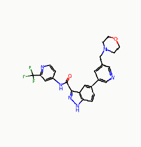 O=C(Nc1ccnc(C(F)(F)F)c1)c1n[nH]c2ccc(-c3cncc(CN4CCOCC4)c3)cc12